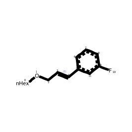 [CH2]CCCCCOC/C=C/c1cccc(F)c1